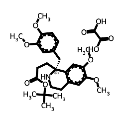 COc1ccc(C[C@@]2(CCC(=O)OC(C)(C)C)NCCc3cc(OC)c(OC)cc32)cc1OC.O=C(O)C(=O)O